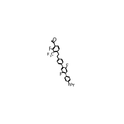 CCCc1ccc(-c2cc(F)c(-c3ccc(CCc4ccc(C5CO5)c(F)c4C(F)(F)F)cc3)cc2F)cc1